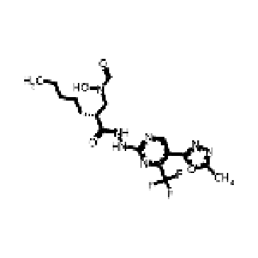 CCCCC[C@H](CN(O)C=O)C(=O)NNc1ncc(-c2nnc(C)o2)c(C(F)(F)F)n1